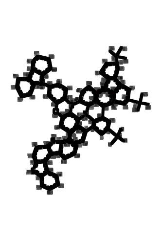 CC(C)(C)c1cc(-c2ccccc2)c(N2c3cc(-n4c5ccc(C(C)(C)C)cc5c5cc(C(C)(C)C)ccc54)ccc3B3c4ccc(-n5c6ccccc6c6ccccc65)cc4Oc4cc(-c5cccc6c5sc5ccc7sc8ccccc8c7c56)cc2c43)c(-c2ccccc2)c1